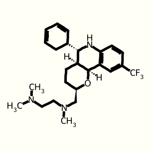 CN(C)CCN(C)C[C@H]1CC[C@@H]2[C@H](O1)c1cc(C(F)(F)F)ccc1N[C@H]2C1C=CC=CC1